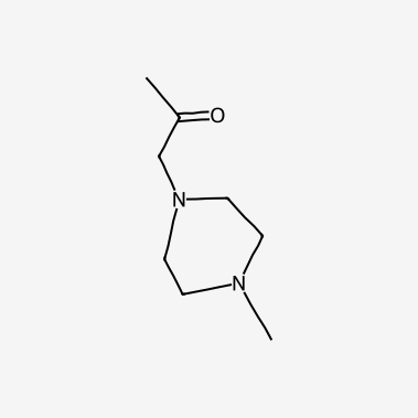 CC(=O)CN1CCN(C)CC1